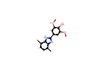 COc1cc(-c2nc3c(C)ccc(C)c3[nH]2)cc(OC)c1O